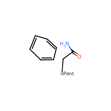 CCCCCCC(N)=O.c1ccccc1